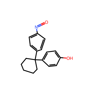 O=Nc1ccc(C2(c3ccc(O)cc3)CCCCC2)cc1